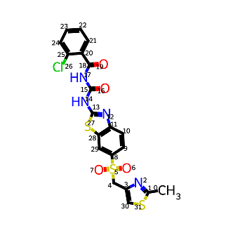 Cc1nc(CS(=O)(=O)c2ccc3nc(NC(=O)NC(=O)c4ccccc4Cl)sc3c2)cs1